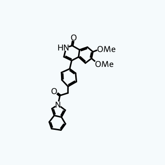 COc1cc2c(-c3ccc(CC(=O)n4cc5ccccc5c4)cc3)c[nH]c(=O)c2cc1OC